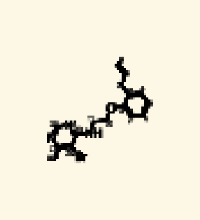 C=CCc1ccccc1OCCNc1ncnc(C)c1Br